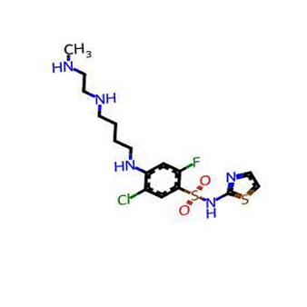 CNCCNCCCCNc1cc(F)c(S(=O)(=O)Nc2nccs2)cc1Cl